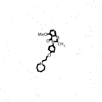 COc1cccc2nc(C)n(-c3ccc(OCCCN4CCCCCC4)cc3)c(=O)c12